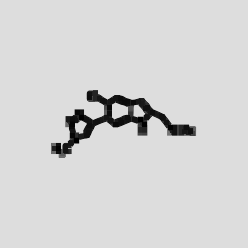 CC(=O)NCc1cc2cc(Cl)c(-c3cn(C)nn3)cc2[nH]1